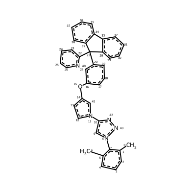 Cc1cccc(C)c1-n1cc(-n2ccc(Oc3cccc(C4(c5ccccn5)c5ccccc5-c5ccccc54)c3)c2)nn1